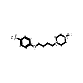 CCN1CCN(CCCCOc2ccc([N+](=O)[O-])cc2)CC1